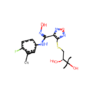 CC(C)(O)[C@@H](O)CSc1nonc1/C(=N\O)Nc1ccc(F)c(C#N)c1